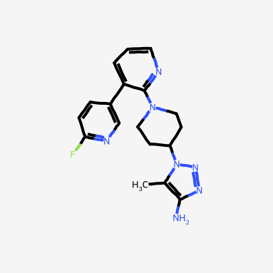 Cc1c(N)nnn1C1CCN(c2ncccc2-c2ccc(F)nc2)CC1